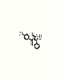 Cc1[nH]c(=S)n(Nc2ccc(Cl)cc2)c1-c1ccccc1